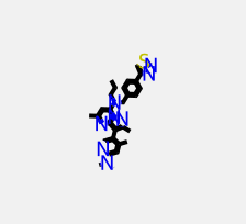 CCCN(Cc1ccc(-c2csnn2)cc1)c1cc(C)nc2c(-c3cnc(N(C)C)cc3C)c(C)nn12